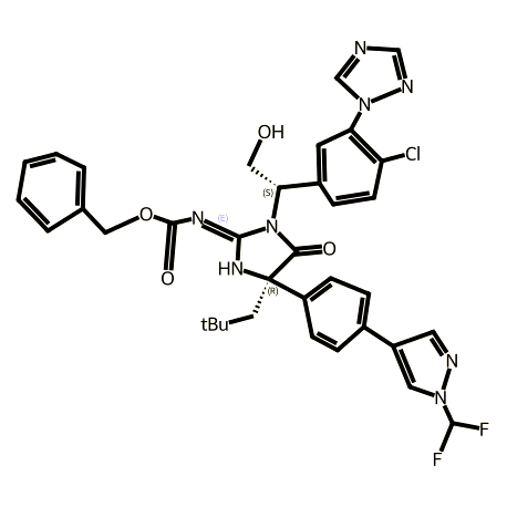 CC(C)(C)C[C@]1(c2ccc(-c3cnn(C(F)F)c3)cc2)N/C(=N\C(=O)OCc2ccccc2)N([C@H](CO)c2ccc(Cl)c(-n3cncn3)c2)C1=O